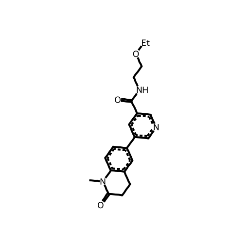 CCOCCNC(=O)c1cncc(-c2ccc3c(c2)CCC(=O)N3C)c1